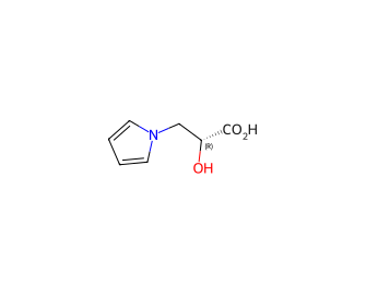 O=C(O)[C@H](O)Cn1cccc1